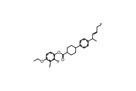 CCOc1ccc(OC(=O)C2CCC(c3ccc(C(C)/C=C/CF)cc3)CC2)c(F)c1F